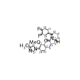 COc1cc(/C=C2/C[C@H]3CCC[C@H](c4ccc(F)c(F)c4)N3C2=O)ccc1-n1cnc(C)c1